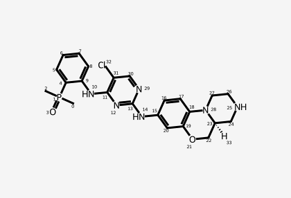 CP(C)(=O)c1ccccc1Nc1nc(Nc2ccc3c(c2)OC[C@@H]2CNCCN32)ncc1Cl